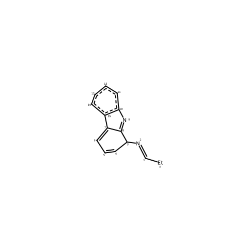 CCC=NC1C=CC=C2C1=Nc1ccccc12